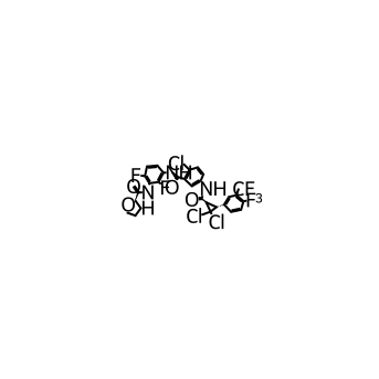 O=C(Nc1ccc(F)c(NC(=O)[C@H]2CCCO2)c1F)c1cc(NC(=O)[C@H]2[C@H](c3ccc(F)c(C(F)(F)F)c3)C2(Cl)Cl)ccc1Cl